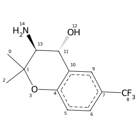 CC1(C)Oc2ccc(C(F)(F)F)cc2[C@@H](O)[C@@H]1N